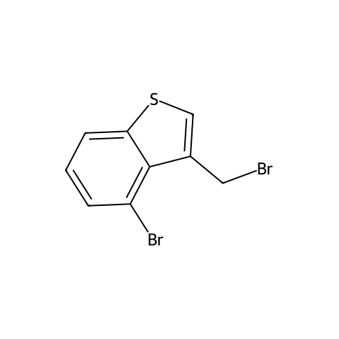 BrCc1csc2cccc(Br)c12